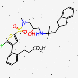 CN(C[C@H](O)CNC(C)(C)CC1Cc2ccccc2C1)S(=O)(=O)c1cc(-c2ccccc2CCC(=O)O)c(Cl)s1